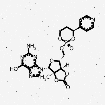 C[C@@]12OC(=O)O[C@@H]1[C@@H](CO[P@@]1(=O)OCC[C@@H](c3ccncc3)O1)O[C@H]2n1cnc2c(O)nc(N)nc21